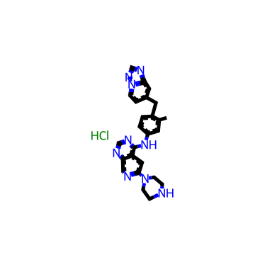 Cc1cc(Nc2ncnc3cnc(N4CCNCC4)cc23)ccc1Cc1ccn2ncnc2c1.Cl